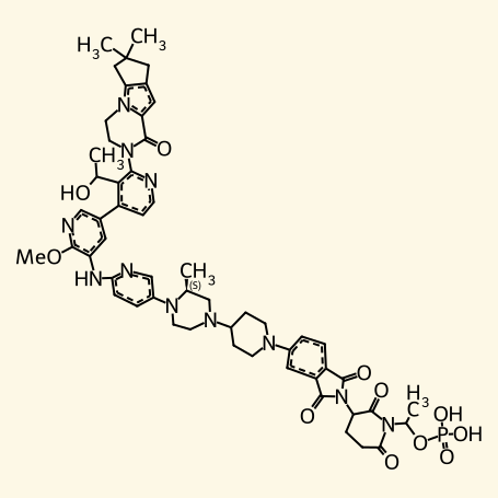 COc1ncc(-c2ccnc(N3CCn4c(cc5c4CC(C)(C)C5)C3=O)c2C(C)O)cc1Nc1ccc(N2CCN(C3CCN(c4ccc5c(c4)C(=O)N(C4CCC(=O)N(C(C)OP(=O)(O)O)C4=O)C5=O)CC3)C[C@@H]2C)cn1